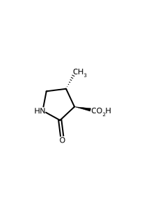 C[C@H]1CNC(=O)[C@@H]1C(=O)O